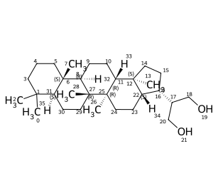 CC1(C)CCC[C@]2(C)[C@H]3CC[C@@H]4[C@@]5(C)CC[C@H](C(CO)CO)[C@@H]5CC[C@@]4(C)[C@]3(C)CC[C@@H]12